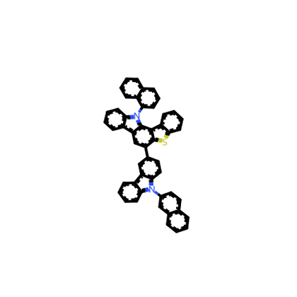 c1ccc2cc(-n3c4ccccc4c4cc(-c5cc6c7ccccc7n(-c7cccc8ccccc78)c6c6c5sc5ccccc56)ccc43)ccc2c1